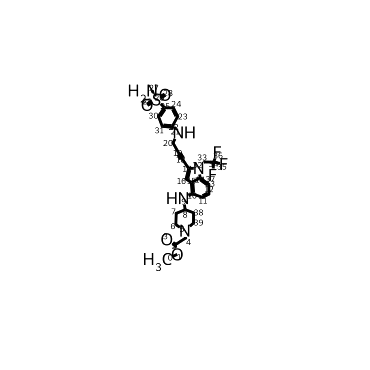 COC(=O)CN1CCC(Nc2cccc3c2cc(C#CCNc2ccc(S(N)(=O)=O)cc2)n3CC(F)(F)F)CC1